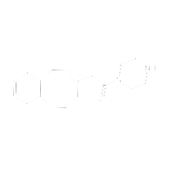 O=C(C/C1=C/CC2=CC=CCC2SCC1)N1CCNCC1